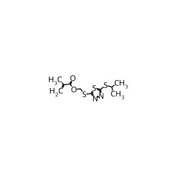 C=C(C)C(=O)OCSc1nnc(SC(C)C)s1